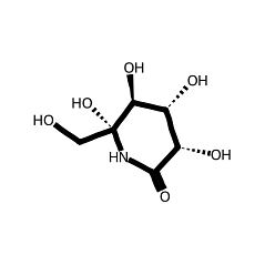 O=C1N[C@@](O)(CO)[C@@H](O)[C@H](O)[C@@H]1O